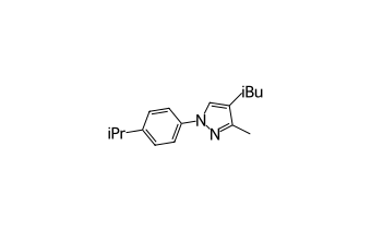 CCC(C)c1cn(-c2ccc(C(C)C)cc2)nc1C